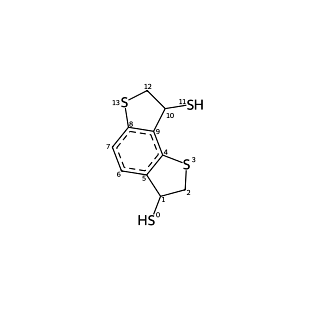 SC1CSc2c1ccc1c2C(S)CS1